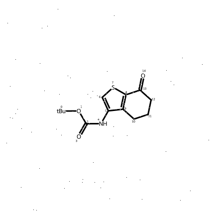 CC(C)(C)OC(=O)Nc1csc2c1CCCC2=O